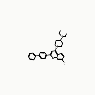 CCN(CC)C1CCN(c2cc(-c3ccc(-c4ccccc4)cc3)nc3cc(Cl)ccc23)CC1